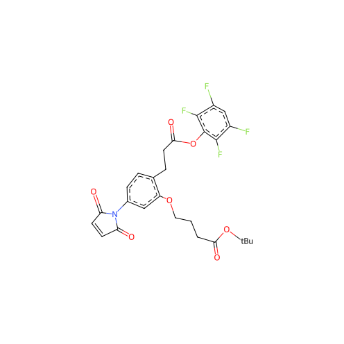 CC(C)(C)OC(=O)CCCOc1cc(N2C(=O)C=CC2=O)ccc1CCC(=O)Oc1c(F)c(F)cc(F)c1F